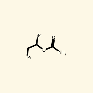 CC(C)CC(OC(N)=O)C(C)C